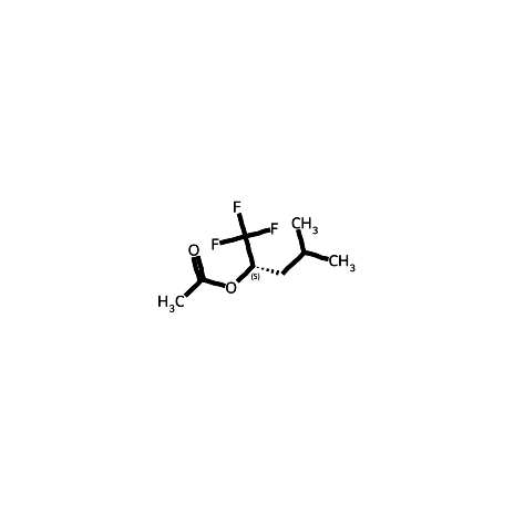 CC(=O)O[C@@H](CC(C)C)C(F)(F)F